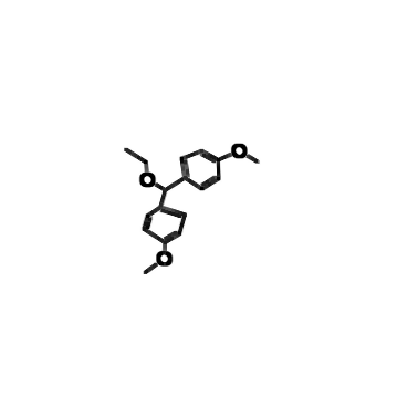 CCOC(c1ccc(OC)cc1)c1ccc(OC)cc1